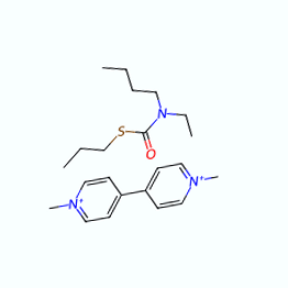 CCCCN(CC)C(=O)SCCC.C[n+]1ccc(-c2cc[n+](C)cc2)cc1